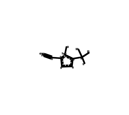 Cn1c(C#N)ccc1C(C)(C)C